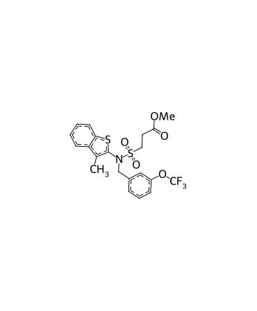 COC(=O)CCS(=O)(=O)N(Cc1cccc(OC(F)(F)F)c1)c1sc2ccccc2c1C